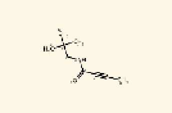 CC#CC(=O)NCC(C)(C)C